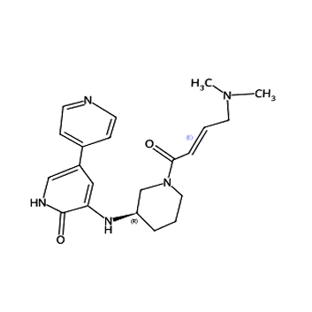 CN(C)C/C=C/C(=O)N1CCC[C@@H](Nc2cc(-c3ccncc3)c[nH]c2=O)C1